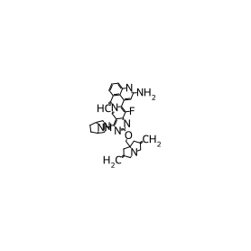 C#Cc1cccc2nc(N)cc(-c3ncc4c(N5CC6CCC(C5)N6)nc(OCC56CC(=C)CN5CC(=C)C6)nc4c3F)c12